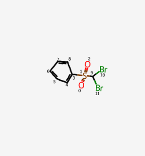 O=S(=O)(c1ccccc1)C(Br)Br